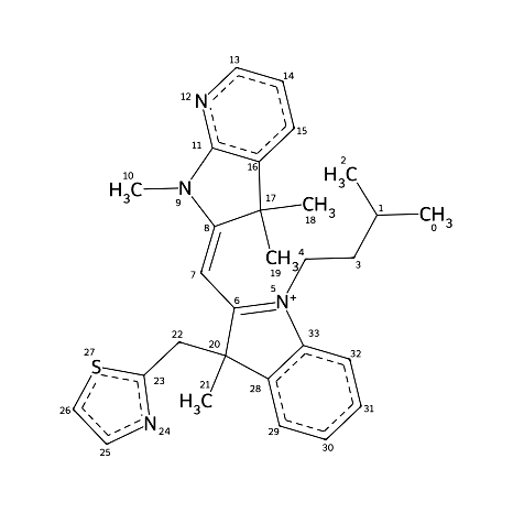 CC(C)CC[N+]1=C(C=C2N(C)c3ncccc3C2(C)C)C(C)(Cc2nccs2)c2ccccc21